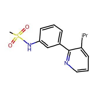 CC(C)c1cccnc1-c1cccc(NS(C)(=O)=O)c1